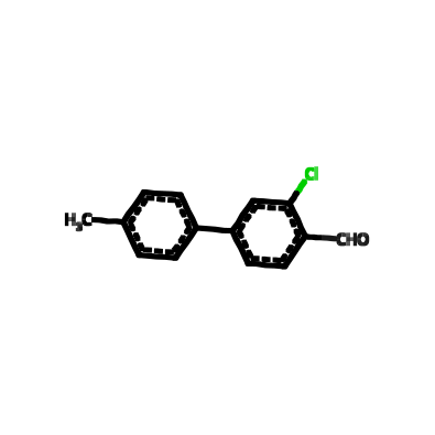 Cc1ccc(-c2ccc(C=O)c(Cl)c2)cc1